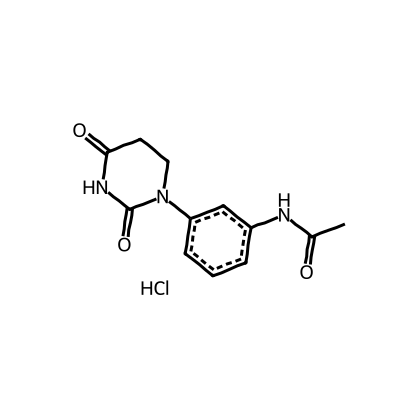 CC(=O)Nc1cccc(N2CCC(=O)NC2=O)c1.Cl